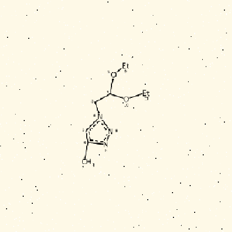 CCOC(Cn1cc(C)nn1)OCC